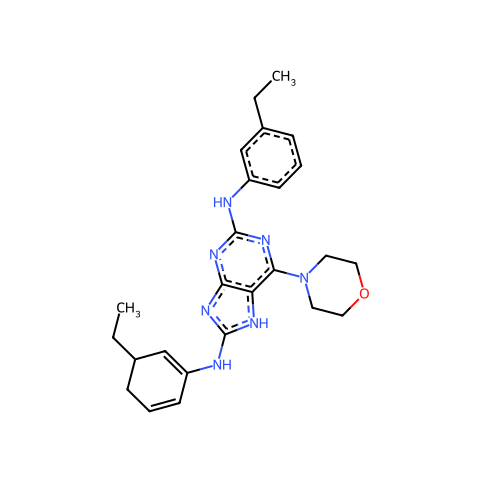 CCc1cccc(Nc2nc(N3CCOCC3)c3[nH]c(NC4=CC(CC)CC=C4)nc3n2)c1